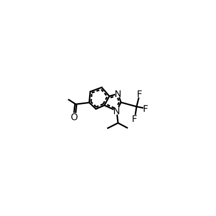 CC(=O)c1ccc2nc(C(F)(F)F)n(C(C)C)c2c1